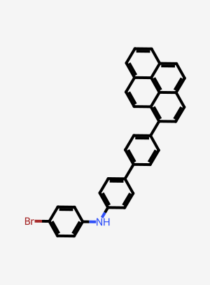 Brc1ccc(Nc2ccc(-c3ccc(-c4ccc5ccc6cccc7ccc4c5c67)cc3)cc2)cc1